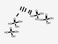 CC.CC.CC.CC.CC.CC.O=P(O)(O)O.O=P(O)(O)O.O=P(O)(O)O.O=P(O)(O)O